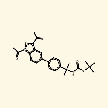 C=C(C)c1nn(C(C)=O)c2ccc(-c3ccc(C(C)(C)NC(=O)OC(C)(C)C)cc3)cc12